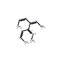 C\C=C/C(=C/N)C(/C=C\C)=N/C